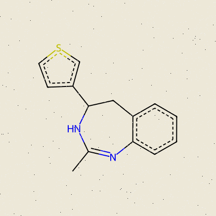 CC1=Nc2ccccc2CC(c2ccsc2)N1